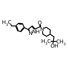 CCc1ccc(-c2cc(C(=O)N3CCC(CC(C)(C)O)CC3)[nH]n2)cc1